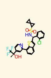 C[C@](O)(c1ccnc(-c2cccc3cc([C@H](NS(=O)(=O)[C@@H]4CC45CC5)c4ccccc4Cl)sc23)c1)C(F)(F)F